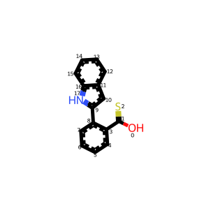 OC(=S)c1ccccc1-c1cc2ccccc2[nH]1